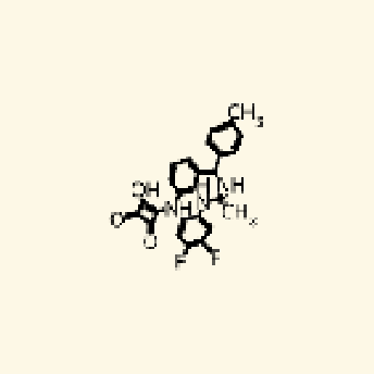 Cc1ccc(C(N[C@@H](C)Nc2ccc(F)c(F)c2)c2cccc(Nc3c(O)c(=O)c3=O)c2)cc1